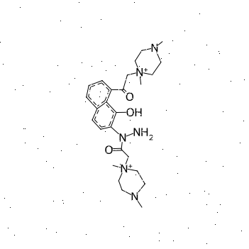 CN1CC[N+](C)(CC(=O)c2cccc3ccc(N(N)C(=O)C[N+]4(C)CCN(C)CC4)c(O)c23)CC1